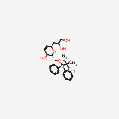 CC(C)(C)[Si](OC[C@H]1O[C@H](CC(O)CO)C=C[C@@H]1O)(c1ccccc1)c1ccccc1